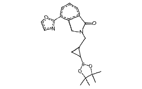 CC1(C)OB(C2CC2CN2Cc3c(cccc3-c3ncco3)C2=O)OC1(C)C